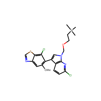 COc1cc2ncsc2c(Cl)c1-c1cn(COCC[Si](C)(C)C)c2nc(Cl)ccc12